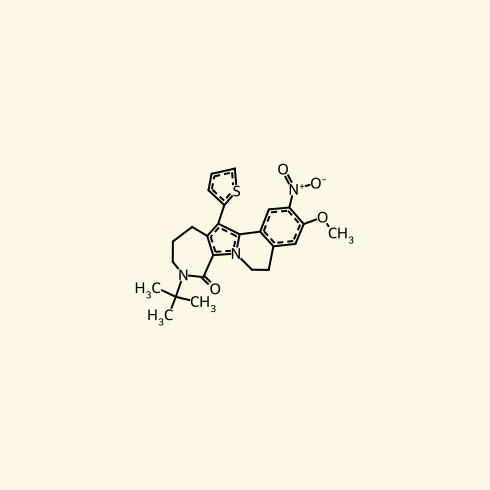 COc1cc2c(cc1[N+](=O)[O-])-c1c(-c3cccs3)c3c(n1CC2)C(=O)N(C(C)(C)C)CCC3